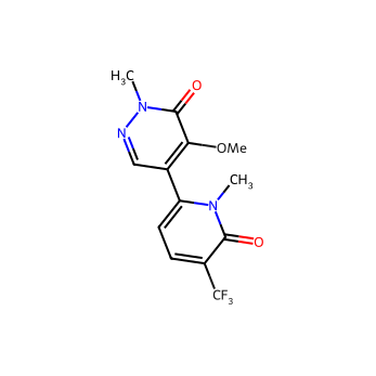 COc1c(-c2ccc(C(F)(F)F)c(=O)n2C)cnn(C)c1=O